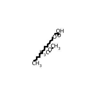 CCCCCCCCCCCCCCCCOCC(=O)O.CCOCC